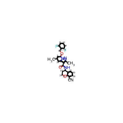 Cc1cc(OCc2c(F)cccc2F)n2nc(C)c(C(=O)NC3CCOc4c(C#N)cccc43)c2c1